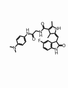 CC1=C(C(=O)NCC(=O)Nc2ccc(N(C)C)cc2)C(C)C(=CC2C(=O)Nc3ccc(F)cc32)N1